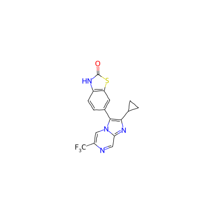 O=c1[nH]c2ccc(-c3c(C4CC4)nc4cnc(C(F)(F)F)cn34)cc2s1